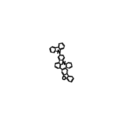 c1ccc(-n2c3ccc(-n4c5ccccc5c5ccccc54)cc3c3cccc(-c4ccc5c(c4)oc4ccccc45)c32)cc1